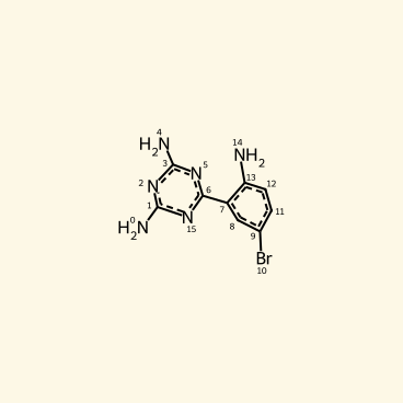 Nc1nc(N)nc(-c2cc(Br)ccc2N)n1